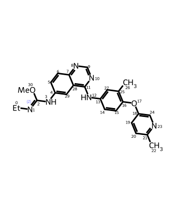 CC/N=C(/Nc1ccc2ncnc(Nc3ccc(Oc4ccc(C)nc4)c(C)c3)c2c1)OC